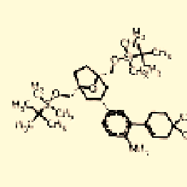 CC1(C)CC=C(c2cc([C@@H]3C[C@@]4(CO[Si](C)(C)C(C)(C)C)CC[C@@](CO[Si](C)(C)C(C)(C)C)(C3)O4)ccc2N)CC1